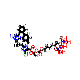 CCCCc1nc(Cl)c(C(=O)OC(C)OC(=O)OCCCC[C@H](CON(O)O)ON(O)O)n1Cc1ccc(-c2ccccc2-c2nnn[nH]2)cc1